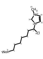 CCCCCCCCCCCCCCCC(Cl)N1C=CN(C)C1